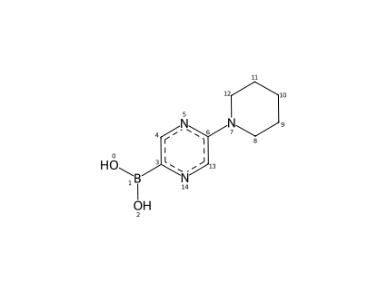 OB(O)c1cnc(N2CCCCC2)cn1